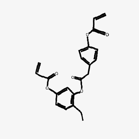 C=CC(=O)Oc1ccc(CC(=O)Oc2cc(OC(=O)C=C)ccc2CC)cc1